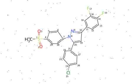 CS(=O)(=O)c1ccc(-n2nc(-c3ccc(F)c(F)c3)cc2-c2ccc(Cl)cc2)cc1